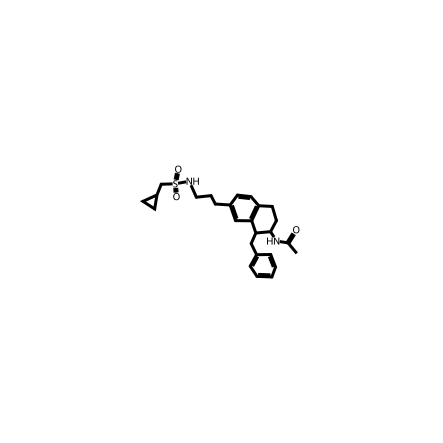 CC(=O)NC1CCc2ccc(CCCNS(=O)(=O)CC3CC3)cc2C1Cc1ccccc1